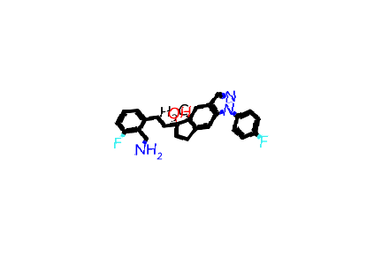 C[C@]12Cc3cnn(-c4ccc(F)cc4)c3C=C1CC[C@@]2(O)CCc1cccc(F)c1CN